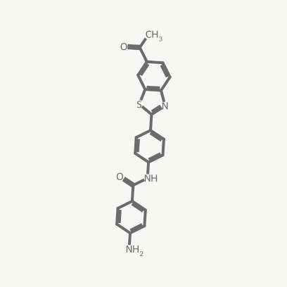 CC(=O)c1ccc2nc(-c3ccc(NC(=O)c4ccc(N)cc4)cc3)sc2c1